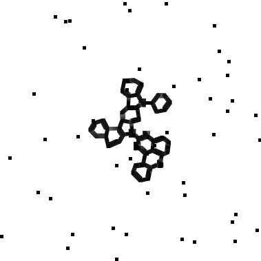 C1=CCC(n2c3ccccc3c3cc4c5c6ccccc6ccc5n(-c5nc6c7c(cccc7n5)Sc5ccccc5-6)c4cc32)C=C1